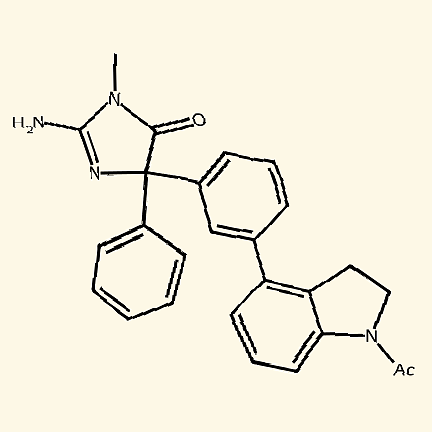 CC(=O)N1CCc2c(-c3cccc(C4(c5ccccc5)N=C(N)N(C)C4=O)c3)cccc21